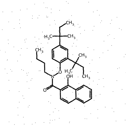 CCCCN(Oc1ccc(C(C)(C)CC)cc1C(C)(C)CC)C(=O)c1ccc2ccccc2c1O